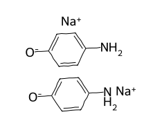 Nc1ccc([O-])cc1.Nc1ccc([O-])cc1.[Na+].[Na+]